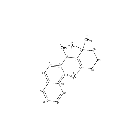 CC1=C(C(O)c2ccc3cnccc3c2)C(C)(C)CCC1